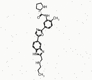 CCCNCc1nc2cc(-c3cnc(-c4ccc(C)c(NC(=O)[C@@H]5CCCN5)c4)o3)ccc2[nH]1